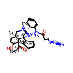 CN[C@]1(O)CC[C@H]2CN(C#N)[C@@]3(c4ccccc4NC(=O)CCN=[N+]=[N-])NC3(C3CCCC3)[C@@H]2[C@@]1(NC)C(=O)OC